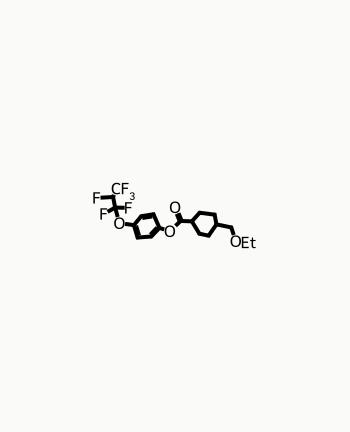 CCOCC1CCC(C(=O)Oc2ccc(OC(F)(F)C(F)C(F)(F)F)cc2)CC1